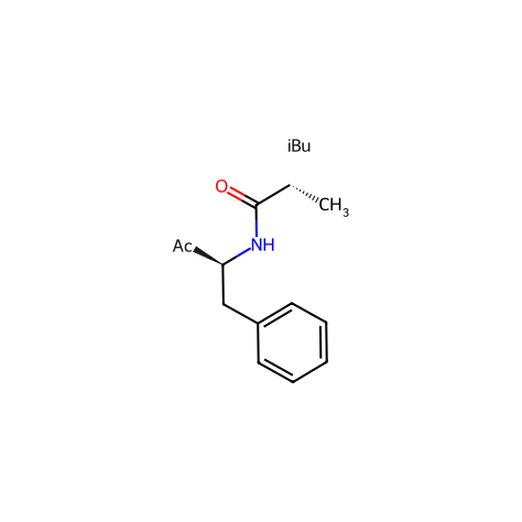 CC[C@H](C)[C@H](C)C(=O)N[C@@H](Cc1ccccc1)C(C)=O